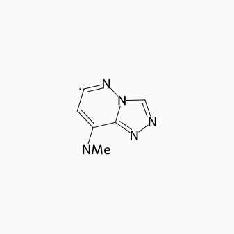 CNc1c[c]nn2cnnc12